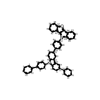 c1ccc(-c2ccc(-n3c4ccc(-c5ccccc5)cc4c4cc(-c5ccc(-n6c7ccccc7c7oc8ccccc8c76)cc5)ccc43)cc2)cc1